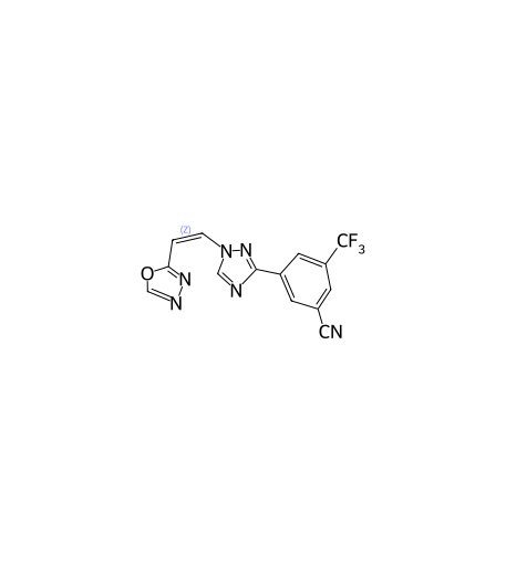 N#Cc1cc(-c2ncn(/C=C\c3nnco3)n2)cc(C(F)(F)F)c1